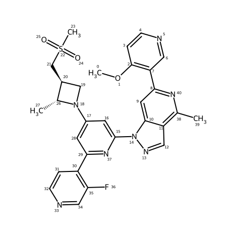 COc1ccncc1-c1cc2c(cnn2-c2cc(N3C[C@H](CS(C)(=O)=O)[C@H]3C)cc(-c3ccncc3F)n2)c(C)n1